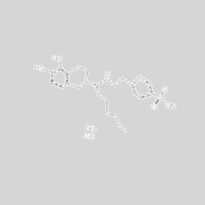 CCCCCCN(NCCc1ccc(S(=O)(=O)O)cc1)C1CCc2c(ccc(O)c2O)C1.Cl.Cl